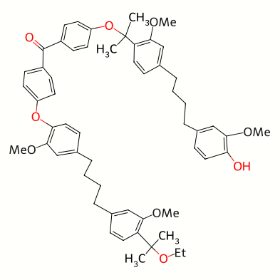 CCOC(C)(C)c1ccc(CCCCc2ccc(Oc3ccc(C(=O)c4ccc(OC(C)(C)c5ccc(CCCCc6ccc(O)c(OC)c6)cc5OC)cc4)cc3)c(OC)c2)cc1OC